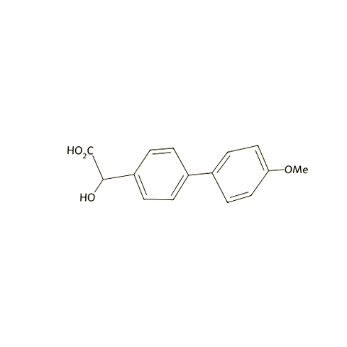 COc1ccc(-c2ccc(C(O)C(=O)O)cc2)cc1